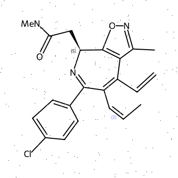 C=CC1=C(/C=C\C)C(c2ccc(Cl)cc2)=N[C@@H](CC(=O)NC)c2onc(C)c21